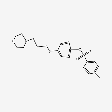 Cc1ccc(S(=O)(=O)Oc2ccc(SCCCN3CCOCC3)cc2)cc1